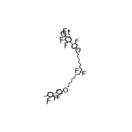 CCOc1ccc(-c2ccc(OCCCCCCCCC(F)(F)CCCCCCCCOc3ccc(-c4ccc(C)c(F)c4F)c(F)c3)cc2F)c(F)c1F